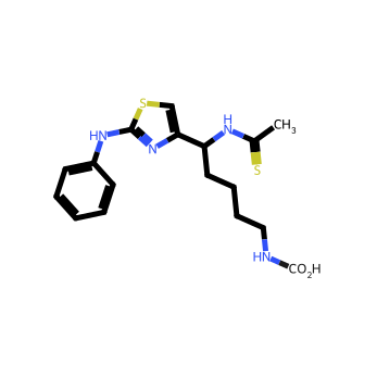 CC(=S)NC(CCCCNC(=O)O)c1csc(Nc2ccccc2)n1